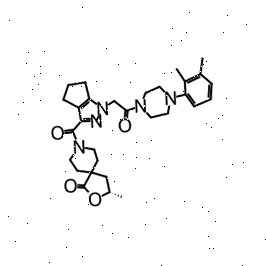 Cc1cccc(N2CCN(C(=O)Cn3nc(C(=O)N4CCC5(CC4)C[C@H](C)OC5=O)c4c3CCC4)CC2)c1C